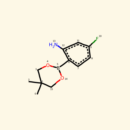 CC1(C)COB(c2ccc(F)cc2N)OC1